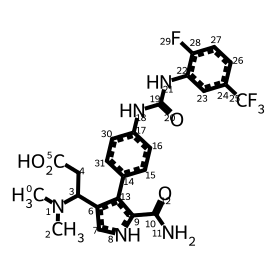 CN(C)C(CC(=O)O)c1c[nH]c(C(N)=O)c1-c1ccc(NC(=O)Nc2cc(C(F)(F)F)ccc2F)cc1